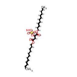 CCCCCCCCCCCCOC(=O)CC(OS(=O)(=O)O)C(=O)OCCCCCCCCCCCC